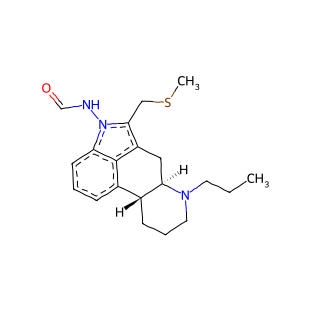 CCCN1CCC[C@@H]2c3cccc4c3c(c(CSC)n4NC=O)C[C@H]21